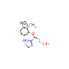 Cc1c(OC(CCO)C2=NCCN2)cccc1[N+](=O)[O-]